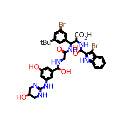 CC(C)(C)c1cc(Br)cc(C(NC(=O)CNC(O)c2cc(O)cc(NC3=NCC(O)CN3)c2)C(NC(O)c2[nH]c3ccccc3c2Br)C(=O)O)c1